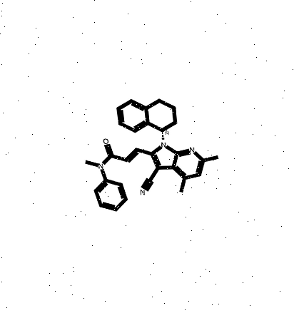 Cc1cc(C)c2c(C#N)c(C=CC(=O)N(C)c3ccccc3)n([C@H]3CCCc4ccccc43)c2n1